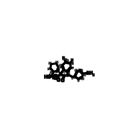 NC(=O)[C@](C(=O)NCc1ccc(N)nc1)(c1ccc(F)c(F)c1)N1CCCC[C@@H]1C(=O)O